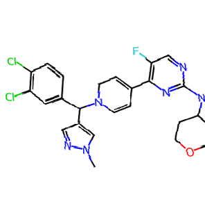 Cn1cc(C(c2ccc(Cl)c(Cl)c2)N2C=CC(c3nc(NC4CCOCC4)ncc3F)=CC2)cn1